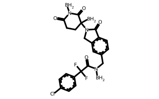 BN(Cc1ccc2c(c1)CN(C1(B)CCC(=O)N(B)C1=O)C2=O)C(=O)C(F)(F)c1ccc(Cl)cc1